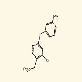 CCOC(=O)Cc1ccc(Sc2cccc(OC)c2)cc1Cl